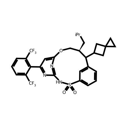 CC(C)C[C@@H]1COc2cc(-c3c(C(F)(F)F)cccc3C(F)(F)F)nc(n2)NS(=O)(=O)c2cccc(c2)C1C1CC2(CC2)C1